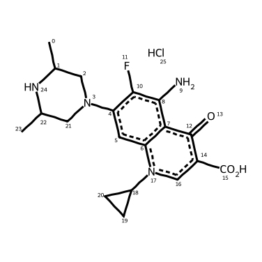 CC1CN(c2cc3c(c(N)c2F)c(=O)c(C(=O)O)cn3C2CC2)CC(C)N1.Cl